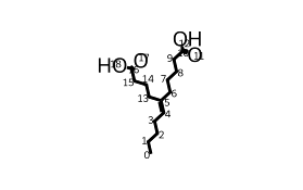 CCCCC=C(CCCCC(=O)O)CCCC(=O)O